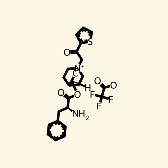 N[C@@H](Cc1ccccc1)C(=O)O[C@H]1C[N+]2(CC(=O)c3cccs3)CCC1CC2.O=C([O-])C(F)(F)F